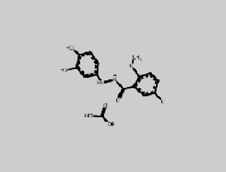 COc1ccc(Cl)cc1C(=O)NNc1ccc(O)c(O)c1.O=C(O)O